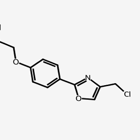 ClCCOc1ccc(-c2nc(CCl)co2)cc1